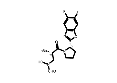 CCCC[C@@H](CN(O)C=O)C(=O)N1CCC[C@H]1c1nc2cc(F)c(F)cc2o1